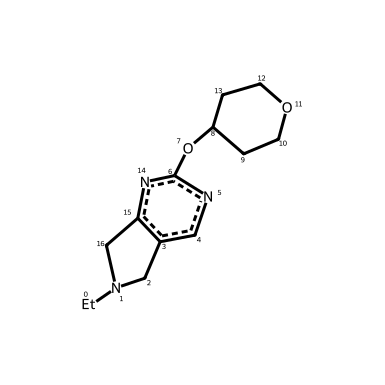 CCN1Cc2cnc(OC3CCOCC3)nc2C1